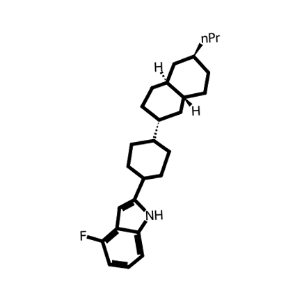 CCC[C@H]1CC[C@@H]2C[C@H](C3CCC(c4cc5c(F)cccc5[nH]4)CC3)CC[C@H]2C1